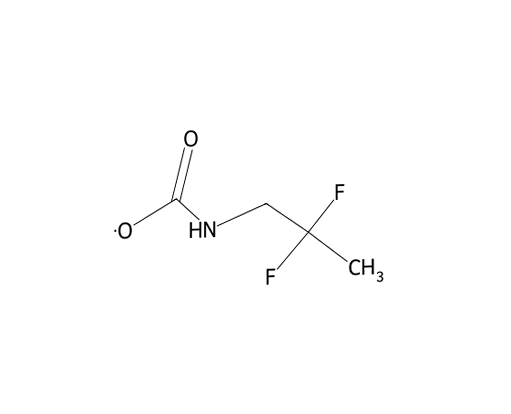 CC(F)(F)CNC([O])=O